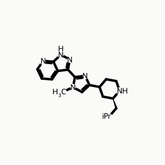 CC(C)C[C@H]1CC(c2cn(C)c(-c3n[nH]c4ncccc34)n2)CCN1